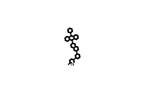 Cc1ccc(-c2cccc(-c3ccc4cc(-c5c6ccccc6c(-c6ccccc6)c6ccccc56)ccc4c3)c2)cn1